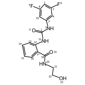 O=C(Nc1cc(F)cc(F)c1)Nc1ccccc1C(=O)NCCO